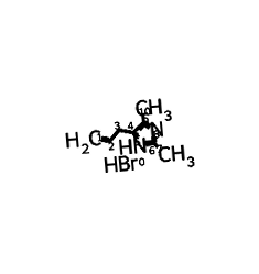 Br.C=CCc1[nH]c(C)nc1C